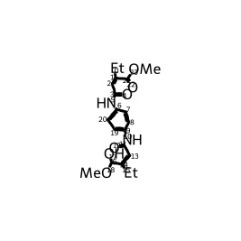 CC/C(=C/C(=O)Nc1ccc(NC(=O)/C=C(/CC)C(O)OC)cc1)C(=O)OC